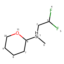 C[SiH](CC(F)F)C1CCCCO1